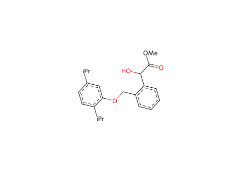 COC(=O)C(O)c1ccccc1COc1cc(C(C)C)ccc1C(C)C